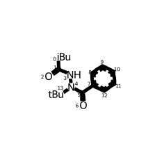 CCC(C)C(=O)NN(C(=O)c1ccccc1)C(C)(C)C